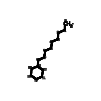 [CH2]CCCCCCC[CH]C1CCCCC1